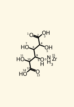 N.O=C(O)C(O)C(O)C(O)C(O)C(=O)O.[Zr]